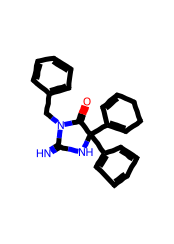 N=C1NC(C2=CCCC=C2)(c2ccccc2)C(=O)N1Cc1ccccc1